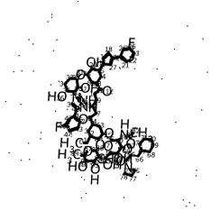 CCC1CC(C(=O)CCCCC(=O)C2CC(C3C=CC(c4cccc(F)c4)=C3)C(O)[C@H](O[C@@H]3CC[C@H](O)C(N4C=C(c5cccc(F)c5)NN4)[C@H]3O)C2)C[C@@H](O[C@@H]2OC(CO)[C@H](O)[C@H](O[C@@H](CC3CCCCC3)C(=O)N3CCC3)C2NC(C)=O)[C@@H]1O[C@@H]1OC(C)[C@@H](O)C(O)[C@@H]1C